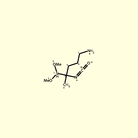 CO[SiH](OC)C(C)(CCCN)N=C=O